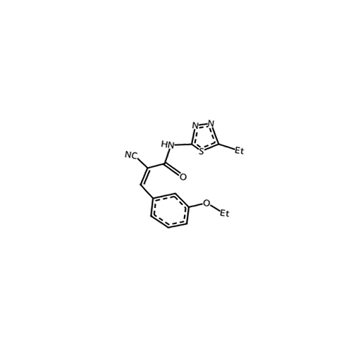 CCOc1cccc(/C=C(/C#N)C(=O)Nc2nnc(CC)s2)c1